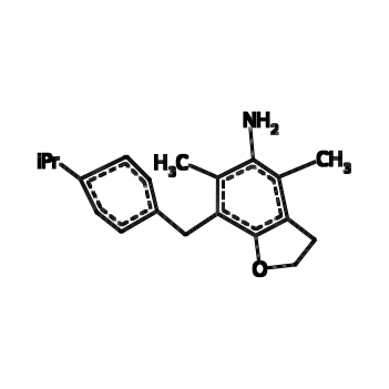 Cc1c(N)c(C)c(Cc2ccc(C(C)C)cc2)c2c1CCO2